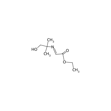 CCOC(=O)/C=N/C(C)(C)CO